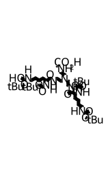 CC(C)(C)OC(=O)NCCCCC(NC(=O)OC(C)(C)C)C(=O)NCCN(CCNCC(=O)O)CCNC(=O)C(CCCCNC(O)OC(C)(C)C)NC(=O)OC(C)(C)C